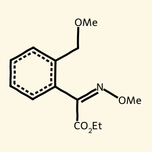 CCOC(=O)C(=NOC)c1ccccc1COC